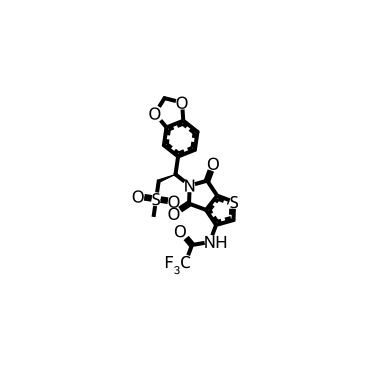 CS(=O)(=O)C[C@@H](c1ccc2c(c1)OCO2)N1C(=O)c2scc(NC(=O)C(F)(F)F)c2C1=O